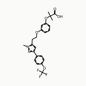 Cn1nc(-c2ccc(OC(F)(F)F)cc2)cc1CCOc1cccc(OC(C)(C)C(=O)O)c1